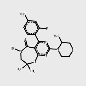 CCN1CC(C)(C)Oc2nc(N3CCOCC3C)nc(-c3ccc(N)cc3F)c2C1=O